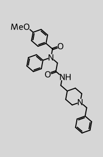 COc1ccc(C(=O)N(CC(=O)NCC2CCN(Cc3ccccc3)CC2)c2ccccc2)cc1